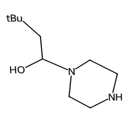 CC(C)(C)CC(O)N1CCNCC1